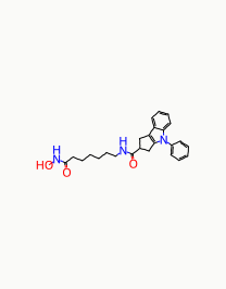 O=C(CCCCCCNC(=O)C1Cc2c(n(-c3ccccc3)c3ccccc23)C1)NO